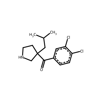 CC(C)CC1(C(=O)c2ccc(Cl)c(Cl)c2)CCNC1